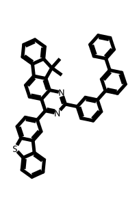 CC1(C)c2ccccc2-c2ccc3c(-c4ccc5sc6ccccc6c5c4)nc(-c4cccc(-c5cccc(-c6ccccc6)c5)c4)nc3c21